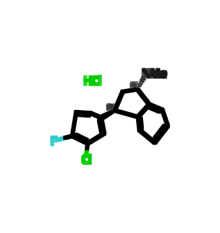 CN[C@H]1C[C@H](c2ccc(F)c(Cl)c2)c2ccccc21.Cl